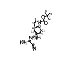 CC(C)(C)OC(=O)n1ccc2cc(NN=C(C#N)C#N)ccc21